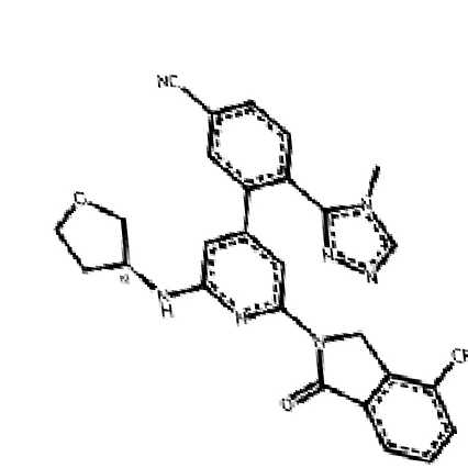 Cn1cnnc1-c1ccc(C#N)cc1-c1cc(N[C@H]2CCOC2)nc(N2Cc3c(cccc3C(F)(F)F)C2=O)c1